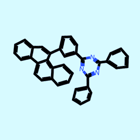 c1ccc(-c2nc(-c3ccccc3)nc(-c3cccc(-c4cc5ccccc5c5ccc6ccccc6c45)c3)n2)cc1